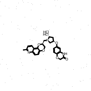 Cc1ccc2c3c(ccc2n1)OC[C@H](CN1CC[C@H](Oc2ccc4c(c2)NC(=O)CO4)C1)O3.Cl.Cl